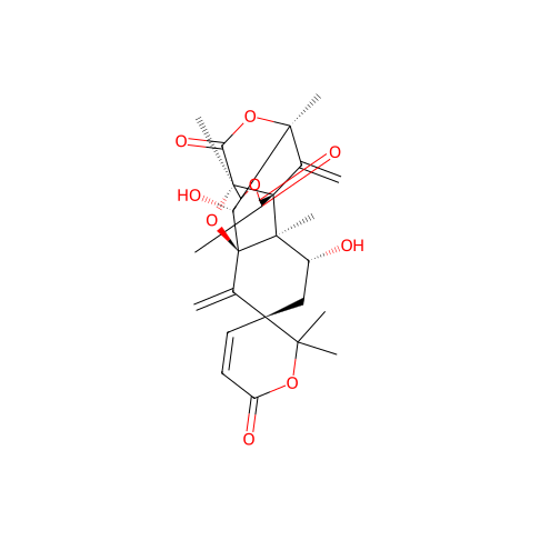 C=C1[C@@]23C(=O)O[C@H](C)[C@]24O[C@@]2(C(=C)[C@]5(C=CC(=O)OC5(C)C)C[C@@H](O)[C@]32C)[C@H](O)[C@@]1(C)OC4=O